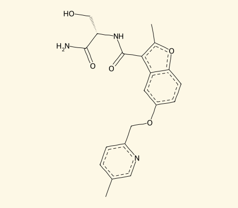 Cc1ccc(COc2ccc3oc(C)c(C(=O)N[C@@H](CO)C(N)=O)c3c2)nc1